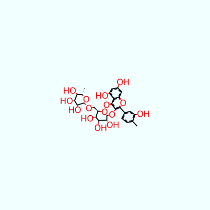 Cc1ccc(-c2oc3cc(O)cc(O)c3c(=O)c2O[C@@H]2O[C@H](CO[C@@H]3O[C@@H](C)[C@H](O)[C@@H](O)[C@H]3O)[C@@H](O)[C@H](O)[C@H]2O)cc1O